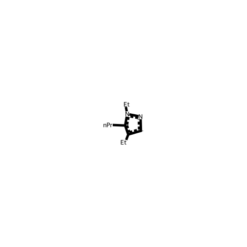 CCCc1c(CC)[c]nn1CC